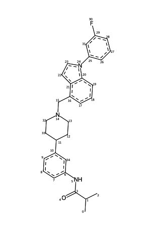 CC(C)C(=O)Nc1cccc(C2CCN(Cc3cccc4c3ccn4-c3cccc(F)c3)CC2)c1